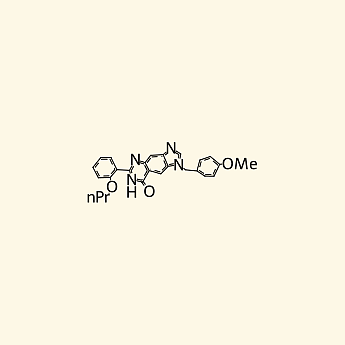 CCCOc1ccccc1-c1nc2cc3ncn(Cc4ccc(OC)cc4)c3cc2c(=O)[nH]1